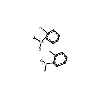 CCc1ccccc1[SiH](Cl)Cl.Cc1ccccc1[SiH](Cl)Cl